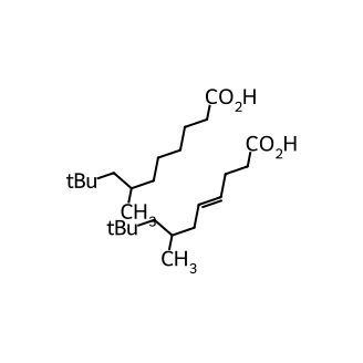 CC(CC=CCCC(=O)O)CC(C)(C)C.CC(CCCCCC(=O)O)CC(C)(C)C